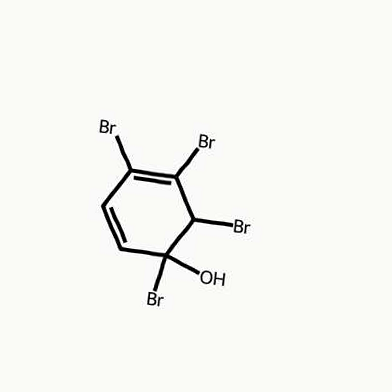 OC1(Br)C=CC(Br)=C(Br)C1Br